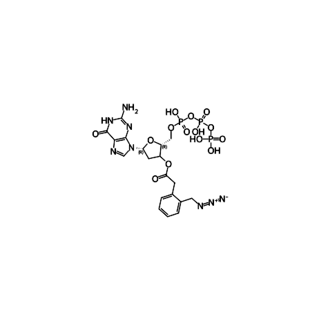 [N-]=[N+]=NCc1ccccc1CC(=O)OC1C[C@H](n2cnc3c(=O)[nH]c(N)nc32)O[C@@H]1COP(=O)(O)OP(=O)(O)OP(=O)(O)O